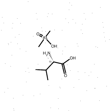 CC(C)[C@H](N)C(=O)O.C[As](C)(=O)O